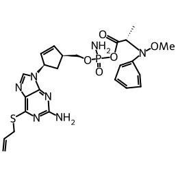 C=CCSc1nc(N)nc2c1ncn2[C@H]1C=C[C@@H](COP(N)(=O)OC(=O)[C@H](C)N(OC)c2ccccc2)C1